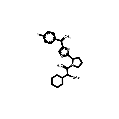 C=C(c1ccc(F)cc1)c1csc(C2CCCN2C(=C)C(NC)C2CCCCC2)n1